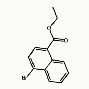 CCOC(=O)c1ccc(Br)c2ccccc12